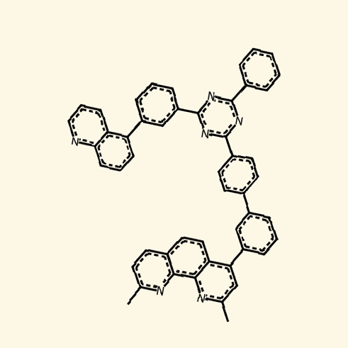 Cc1ccc2ccc3c(-c4cccc(-c5ccc(-c6nc(-c7ccccc7)nc(-c7cccc(-c8cccc9ncccc89)c7)n6)cc5)c4)cc(C)nc3c2n1